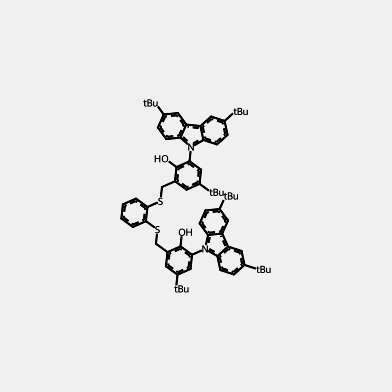 CC(C)(C)c1cc(CSc2ccccc2SCc2cc(C(C)(C)C)cc(-n3c4ccc(C(C)(C)C)cc4c4cc(C(C)(C)C)ccc43)c2O)c(O)c(-n2c3ccc(C(C)(C)C)cc3c3cc(C(C)(C)C)ccc32)c1